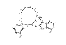 Cc1[nH]c2c(F)cccc2c1BC1CCCCCCCC(c2cncc(F)c2)CCC1